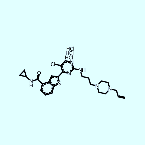 C=CCN1CCN(CCCNc2ncc(Cl)c(-c3cc4c(C(=O)NC5CC5)cccc4s3)n2)CC1.Cl.Cl.Cl